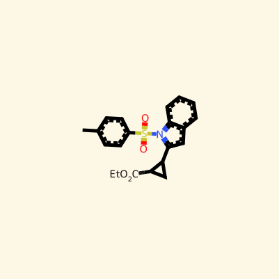 CCOC(=O)C1CC1c1cc2ccccc2n1S(=O)(=O)c1ccc(C)cc1